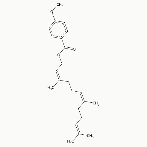 COc1ccc(C(=O)OCC=C(C)CCC=C(C)CCC=C(C)C)cc1